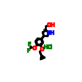 Cl.OC[C@@H]1CC(c2ccc(OC(F)F)c(OCC3CC3)c2)CN1